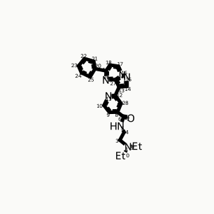 CCN(CC)CCNC(=O)c1ccnc(-c2cnn3ccc(-c4ccccc4)nc23)c1